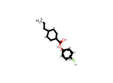 CCCC1CCC(C(=O)Oc2ccc(F)cc2)CC1